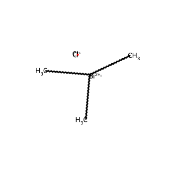 CCCCCCCCCCCCCCCCCCCCCCCCCCCCCCC[C]([Bi+2])(CCCCCCCCCCCCCCCCCCCCCCCCCCCCCCC)CCCCCCCCCCCCCCCCCCCCCCCCCCCCCCC.[Cl-].[Cl-]